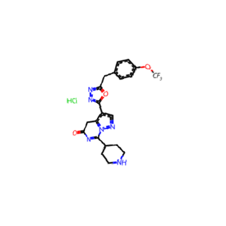 Cl.O=C1Cc2c(-c3nnc(Cc4ccc(OC(F)(F)F)cc4)o3)cnn2C(C2CCNCC2)=N1